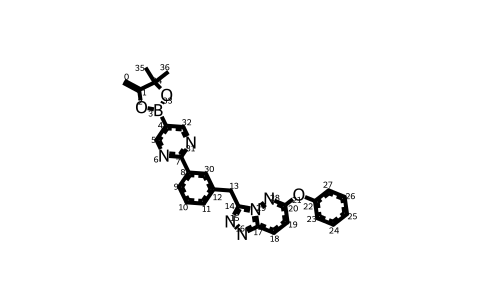 C=C1OB(c2cnc(-c3cccc(Cc4nnc5ccc(Oc6ccccc6)nn45)c3)nc2)OC1(C)C